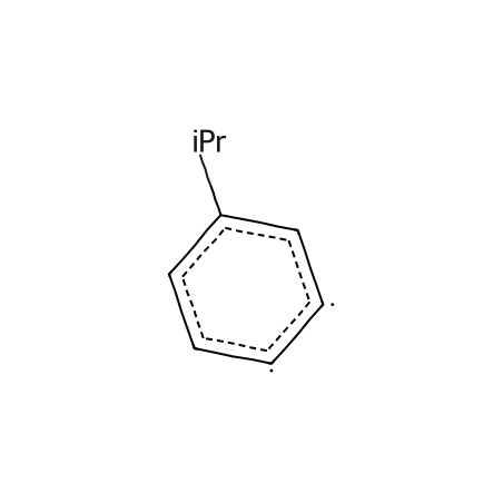 CC(C)c1c[c][c]cc1